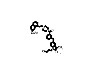 COc1ccc2cccc(CCN3CCN(C(=O)c4cccc(Cc5ccc6c(c5)c(C)c(C)n6CCCCl)c4)CC3)c2c1